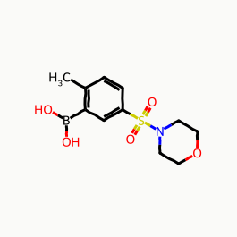 Cc1ccc(S(=O)(=O)N2CCOCC2)cc1B(O)O